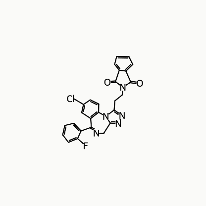 O=C1c2ccccc2C(=O)N1CCc1nnc2n1-c1ccc(Cl)cc1C(c1ccccc1F)=NC2